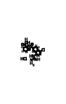 Cl.N=C(N)Nc1ncc(Cl)c2ccc(S(=O)(=O)NC3(C(=O)O)CCCC3)cc12